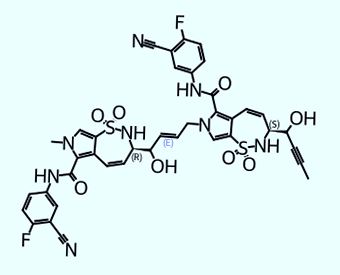 CC#CC(O)[C@@H]1C=Cc2c(cn(C/C=C/C(O)[C@H]3C=Cc4c(cn(C)c4C(=O)Nc4ccc(F)c(C#N)c4)S(=O)(=O)N3)c2C(=O)Nc2ccc(F)c(C#N)c2)S(=O)(=O)N1